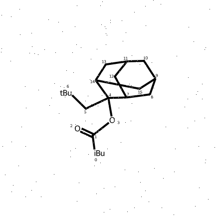 CCC(C)C(=O)OC1(CC(C)(C)C)C2CC3CC(C2)CC1C3